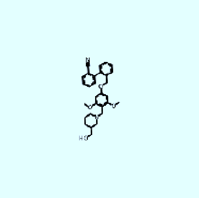 COc1cc(OCc2ccccc2-c2ccccc2C#N)cc(OC)c1CN1CCCC(CO)C1